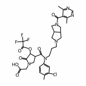 Cc1ccc(N(CCCN2CC3CN(C(=O)c4c(C)ncnc4C)CC3C2)C(=O)C2CN(CC(=O)O)C(=O)C2OC(=O)C(F)(F)F)cc1Cl